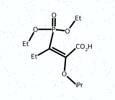 CCOP(=O)(OCC)C(CC)=C(OC(C)C)C(=O)O